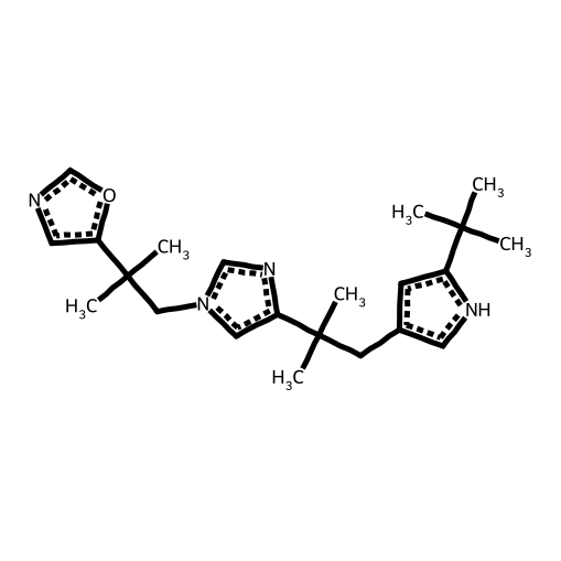 CC(C)(C)c1cc(CC(C)(C)c2cn(CC(C)(C)c3cnco3)cn2)c[nH]1